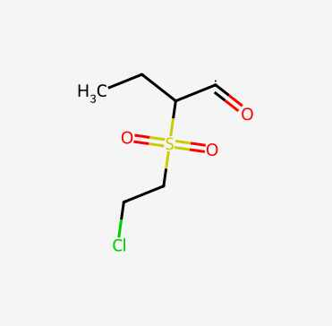 CCC([C]=O)S(=O)(=O)CCCl